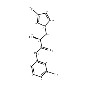 O=C(Nc1ccnc(Cl)c1)[C@@H](O)Cn1cc(F)cn1